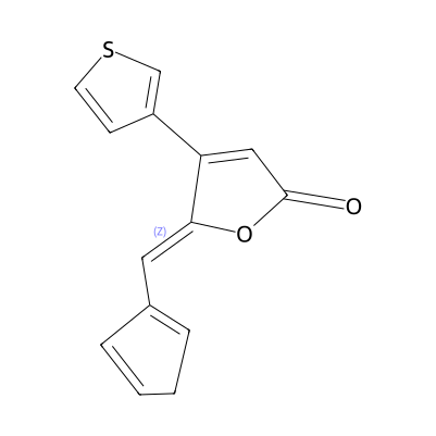 O=C1C=C(c2ccsc2)/C(=C/C2=CCC=C2)O1